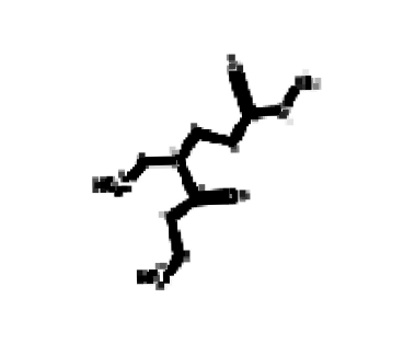 CC(C)(C)OC(=O)CCN(CC(=O)O)C(=O)CCC(=O)O